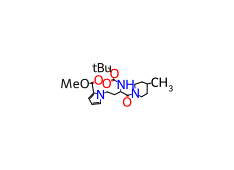 COC(=O)c1cccn1CCC(NC(=O)OC(C)(C)C)C(=O)N1CCC(C)CC1